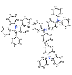 c1ccc(-c2c(-c3ccccc3)n(-c3ccccc3)c3c2ccc2c(-c4ccc(N(c5ccc(-c6ccc(N(c7ccccc7)c7ccccc7)cc6)cc5)c5ccc(N(c6ccccc6)c6ccccc6)cc5)cc4)cccc23)cc1